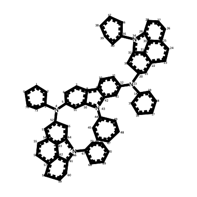 c1ccc(N(c2ccc3c4ccc(N(c5ccccc5)c5cc6ccc7cccc8c7c6c(c5)n8-c5ccccc5)cc4n(-c4ccccc4)c3c2)c2cc3ccc4cccc5c4c3c(c2)n5-c2ccccc2)cc1